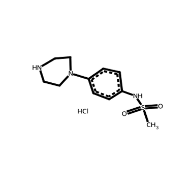 CS(=O)(=O)Nc1ccc(N2CCNCC2)cc1.Cl